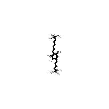 CC(C)(CCCCCCc1c(O)cc(CCCCC(C)(C)C(=O)O)c(O)c1O)C(=O)O